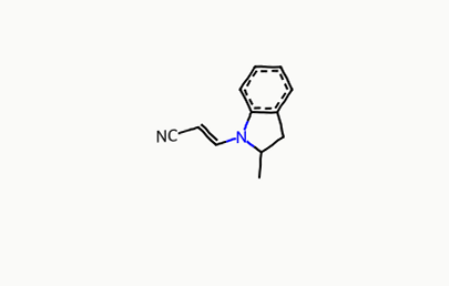 CC1Cc2ccccc2N1C=CC#N